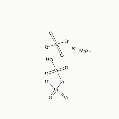 O=S(=O)([O-])[O-].[K+].[Mn+2].[O]=[Cr](=[O])([O-])[O][Cr](=[O])(=[O])[OH]